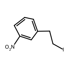 O=[N+]([O-])c1cccc(CCI)c1